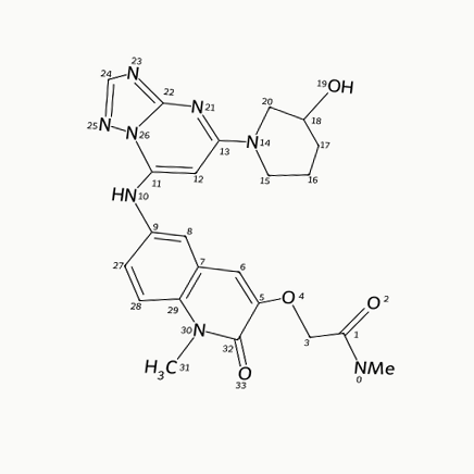 CNC(=O)COc1cc2cc(Nc3cc(N4CCCC(O)C4)nc4ncnn34)ccc2n(C)c1=O